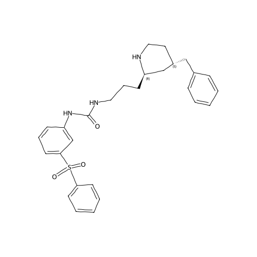 O=C(NCCC[C@@H]1C[C@@H](Cc2ccccc2)CCN1)Nc1cccc(S(=O)(=O)c2ccccc2)c1